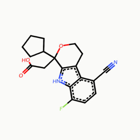 N#Cc1ccc(F)c2[nH]c3c(c12)CCOC3(CC(=O)O)C1CCCC1